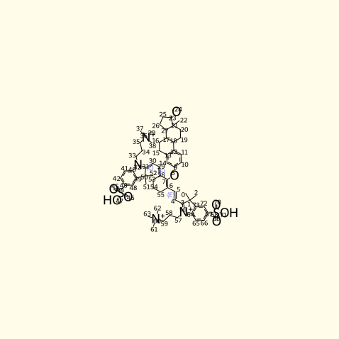 CC1(C)C(/C=C/C2=C(Oc3ccc4c(c3)CCC3C4CCC4(C)C(=O)CCC34)C(=C/C=C3/N(CCC[N+](C)(C)C)c4ccc(S(=O)(=O)O)cc4C3(C)C)/CCC2)=[N+](CCC[N+](C)(C)C)c2ccc(S(=O)(=O)O)cc21